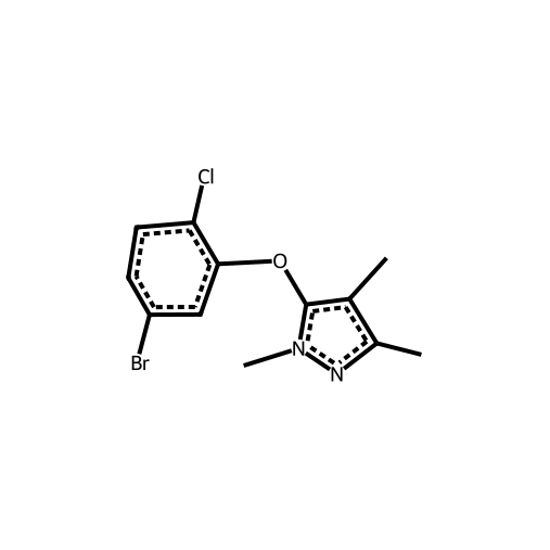 Cc1nn(C)c(Oc2cc(Br)ccc2Cl)c1C